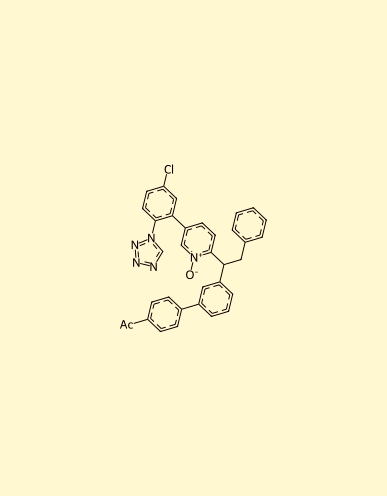 CC(=O)c1ccc(-c2cccc(C(Cc3ccccc3)c3ccc(-c4cc(Cl)ccc4-n4cnnn4)c[n+]3[O-])c2)cc1